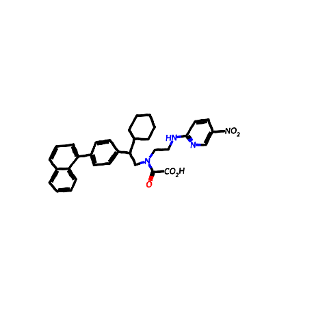 O=C(O)C(=O)N(CCNc1ccc([N+](=O)[O-])cn1)CC(c1ccc(-c2cccc3ccccc23)cc1)C1CCCCC1